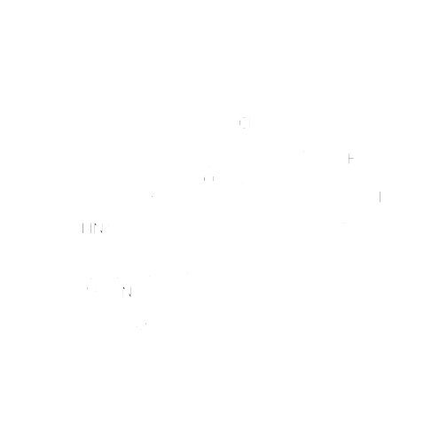 CCNc1cc(Oc2ccc(C(F)(F)F)cc2Cl)ccc1[N+](=O)[O-]